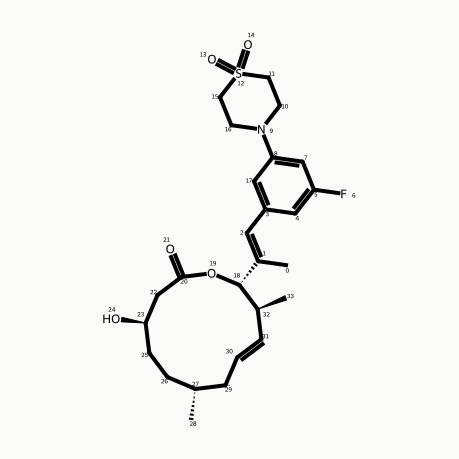 C/C(=C\c1cc(F)cc(N2CCS(=O)(=O)CC2)c1)[C@H]1OC(=O)C[C@H](O)CC[C@@H](C)[CH]/C=C/[C@@H]1C